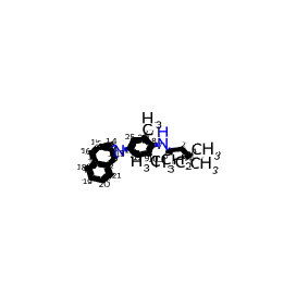 C=C(CC(C)(C)C)Nc1c(C)cc(N2CC3Cc4ccccc4C2C3)cc1C